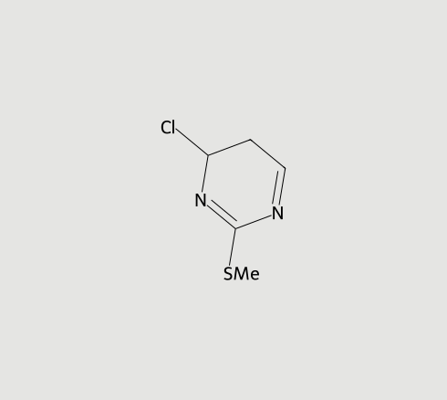 CSC1=NC(Cl)CC=N1